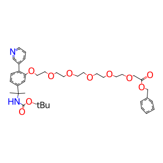 CC(C)(C)OC(=O)NC(C)(C)c1ccc(-c2cccnc2)c(OCCOCCOCCOCCOCCOCC(=O)OCc2ccccc2)c1